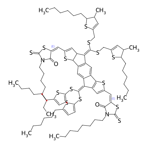 CCCCCCCCN1C(=O)/C(=C\C2=CC3C(=C(SCC4=CC(C)C(CCCCCC)S4)SCC4=CC(C)C(CCCCCC)S4)c4cc5c(cc4C3S2)C(=C(Sc2ccc(CCCCCC)s2)Sc2ccc(CCCCCC)s2)c2cc(/C=C3/SC(=S)N(CCCCCCCC)C3=O)sc2-5)SC1=S